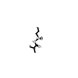 CCC[SiH](Cl)OC(=O)C(C)C